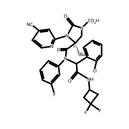 CC(C)(C)[C@@]1(C(=O)N(c2cccc(F)c2)C(C(=O)NC2CC(F)(F)C2)c2ccccc2Cl)CN(C(=O)O)C(=O)N1c1cc(C#N)ccn1